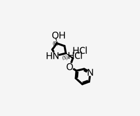 Cl.Cl.O[C@H]1CN[C@H](COc2cccnc2)C1